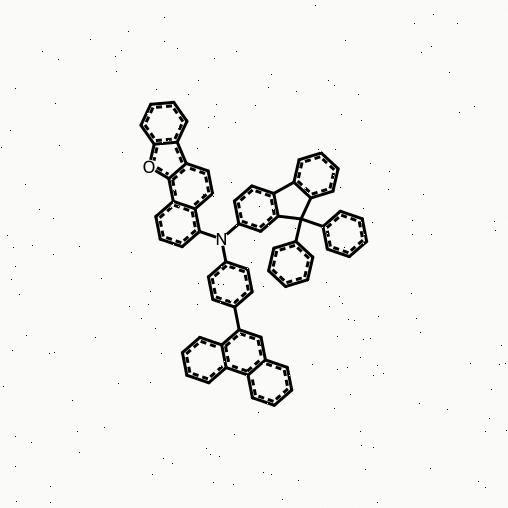 c1ccc(C2(c3ccccc3)c3ccccc3-c3ccc(N(c4ccc(-c5cc6ccccc6c6ccccc56)cc4)c4cccc5c4ccc4c6ccccc6oc54)cc32)cc1